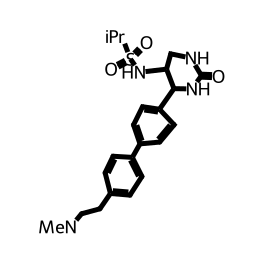 CNCCc1ccc(-c2ccc(C3NC(=O)NCC3NS(=O)(=O)C(C)C)cc2)cc1